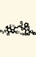 CC1=C(CCCOC(=O)[C@@H]2CCCN2C(=O)C(CO)NC(=O)OC(C)(C)C)C2=C(C)C3(CC3)[C@H](C)C(=O)C2=C1